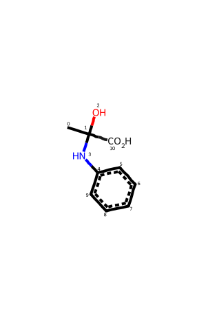 CC(O)(Nc1ccccc1)C(=O)O